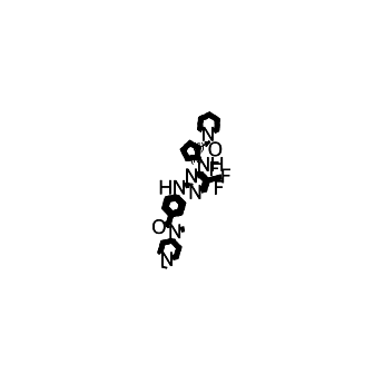 CN1CCC(N(C)C(=O)c2ccc(Nc3ncc(C(F)(F)F)c(N[C@@H]4CCC[C@@H]4C(=O)N4CCCCC4)n3)cc2)CC1